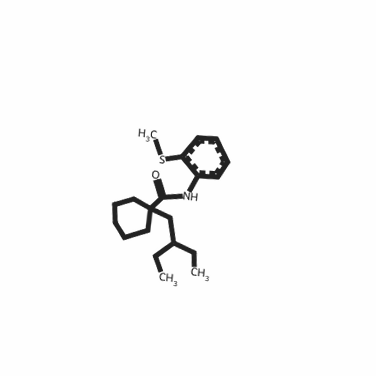 CCC(CC)CC1(C(=O)Nc2ccccc2SC)CCCCC1